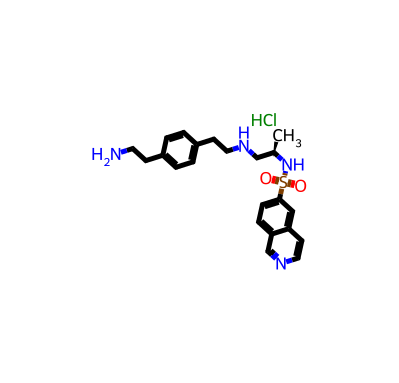 C[C@H](CNCCc1ccc(CCN)cc1)NS(=O)(=O)c1ccc2cnccc2c1.Cl